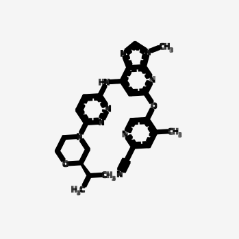 Cc1cc(C#N)ncc1Oc1cc(Nc2ccc(N3CCO[C@H](C(C)C)C3)nn2)c2ncn(C)c2n1